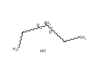 CCCCCCCC/C=C\CCCCCCCC(=O)OCCN(C)CCOC(=O)CCCCCCC/C=C\CCCCCCCC.Cl